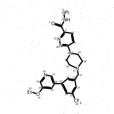 CCCNC(=O)c1ccc(N2CCN(Cc3cc(-c4cncc(OCC)c4)cc(C(F)(F)F)c3)CC2)nn1